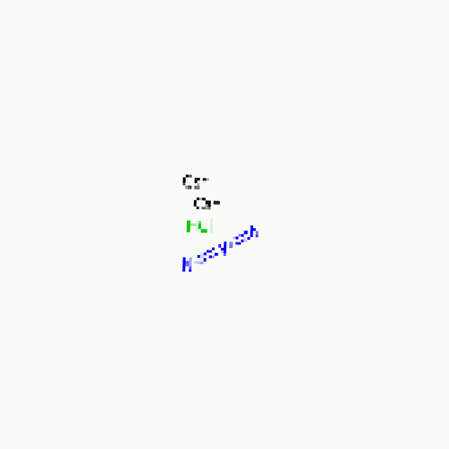 Cl.[Cs+].[Cs+].[N-]=[N+]=[N-]